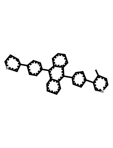 Cc1ccncc1-c1ccc(-c2c3ccccc3c(-c3ccc(-c4cccnc4)cc3)c3ccccc23)cc1